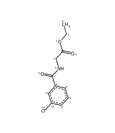 CCOC(=O)CNC(=O)c1cccc(Cl)c1